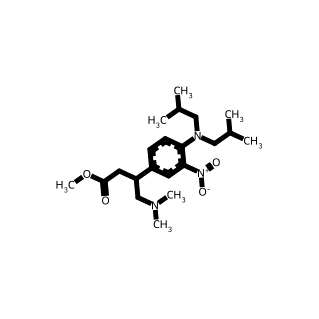 COC(=O)CC(CN(C)C)c1ccc(N(CC(C)C)CC(C)C)c([N+](=O)[O-])c1